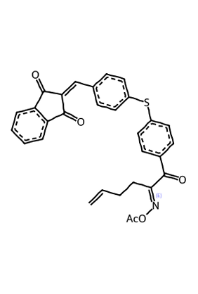 C=CCC/C(=N\OC(C)=O)C(=O)c1ccc(Sc2ccc(C=C3C(=O)c4ccccc4C3=O)cc2)cc1